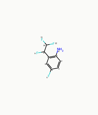 Nc1ccc(F)cc1C(F)C(F)F